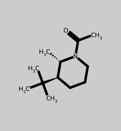 CC(=O)N1CCC[C@@H](C(C)(C)C)[C@@H]1C